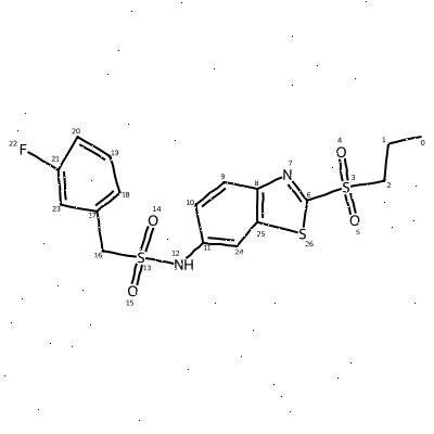 CCCS(=O)(=O)c1nc2ccc(NS(=O)(=O)Cc3cccc(F)c3)cc2s1